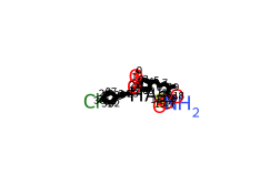 COc1cc(CCCC(C)C([AsH]S(C)(=O)=O)C(N)=O)ccc1OCC#Cc1ccc(Cl)cc1